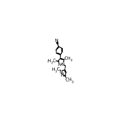 Cc1cc(Cn2nc(C)c(-c3ccc(C#N)cc3)c2C)n(C)n1